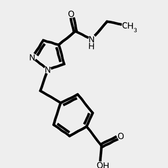 CCNC(=O)c1cnn(Cc2ccc(C(=O)O)cc2)c1